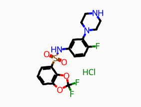 Cl.O=S(=O)(Nc1ccc(F)c(N2CCNCC2)c1)c1cccc2c1OC(F)(F)O2